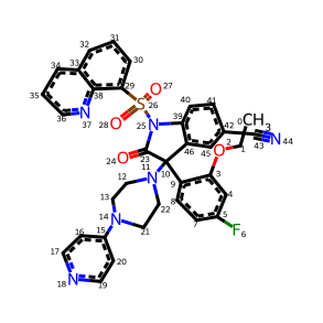 CCOc1cc(F)ccc1C1(N2CCN(c3ccncc3)CC2)C(=O)N(S(=O)(=O)c2cccc3cccnc23)c2ccc(C#N)cc21